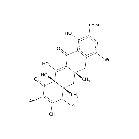 CCCCCCc1cc(C(C)C)c2c(c1O)C(=O)C1=C(O)[C@@]3(O)C(=O)C(C(C)=O)=C(O)C(C(C)C)[C@@]3(C)C[C@@]1(C)C2